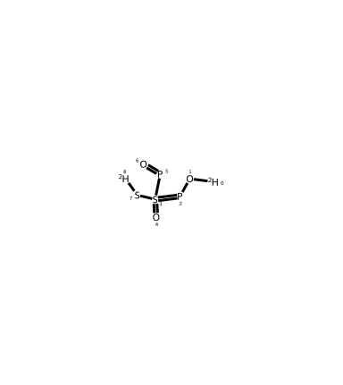 [2H]OP=S(=O)(P=O)S[2H]